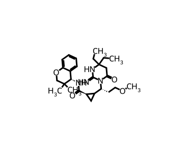 CCC1(CC)CC(=O)N([C@H](CCOC)C2C[C@H]2C(=O)N[C@H]2c3ccccc3OCC2(C)C)C(=N)N1